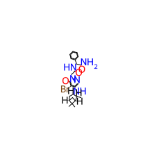 C[C@H]1[C@H]2C[C@H](C[C@H]1Nc1cnn(CC(=O)NC(C(N)=O)c3ccccc3)c(=O)c1Br)C2(C)C